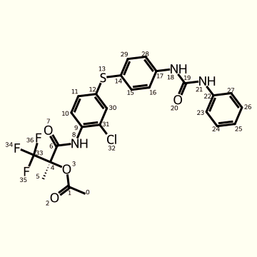 CC(=O)O[C@](C)(C(=O)Nc1ccc(Sc2ccc(NC(=O)Nc3ccccc3)cc2)cc1Cl)C(F)(F)F